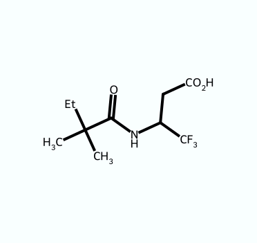 CCC(C)(C)C(=O)NC(CC(=O)O)C(F)(F)F